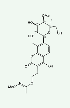 CON=C(C)OCCc1c(O)c2ccc([C@@H]3O[C@](C)(CO)[C@H](OC)[C@H](O)[C@H]3O)c(C)c2oc1=O